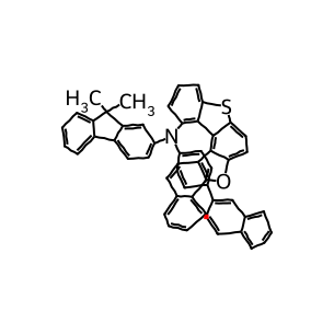 CC1(C)c2ccccc2-c2ccc(N(c3ccc(-c4ccc5ccccc5c4)cc3)c3cccc4sc5ccc6oc7c8ccccc8ccc7c6c5c34)cc21